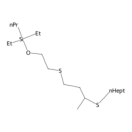 CCCCCCCSC(C)CCSCCO[Si](CC)(CC)CCC